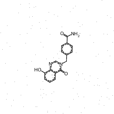 NC(=O)c1ccc(Cn2cnc3c(O)cccc3c2=O)cc1